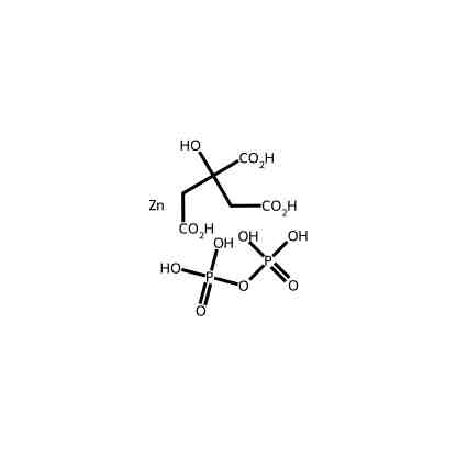 O=C(O)CC(O)(CC(=O)O)C(=O)O.O=P(O)(O)OP(=O)(O)O.[Zn]